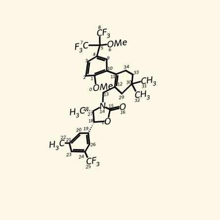 COc1ccc(C(OC)(C(F)(F)F)C(F)(F)F)cc1C1=C(CN2C(=O)O[C@H](c3cc(C)cc(C(F)(F)F)c3)[C@@H]2C)CC(C)(C)CC1